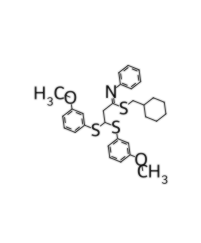 COc1cccc(SC(CC(=Nc2ccccc2)SCC2CCCCC2)Sc2cccc(OC)c2)c1